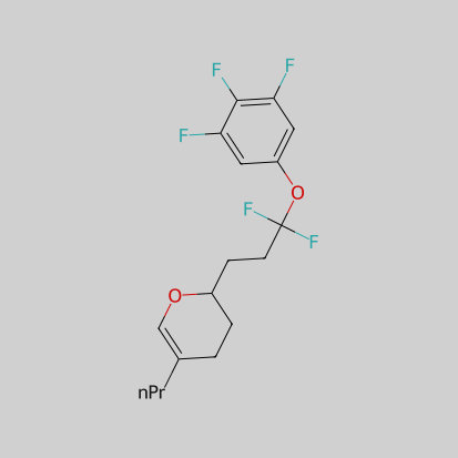 CCCC1=COC(CCC(F)(F)Oc2cc(F)c(F)c(F)c2)CC1